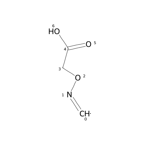 [CH]=NOCC(=O)O